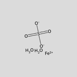 O.O.O=S(=O)([O-])[O-].[Fe+2]